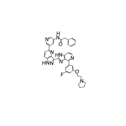 O=C(Cc1ccccc1)Nc1cncc(-c2ccc3[nH]nc(-c4nc5c(-c6cc(F)cc(OCCN7CCCC7)c6)nccc5[nH]4)c3n2)c1